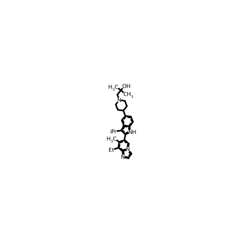 CCc1c(C)c(-c2[nH]c3ccc(C4CCN(CC(C)(C)O)CC4)cc3c2C(C)C)cn2ccnc12